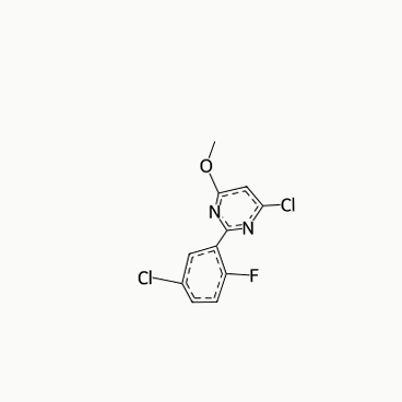 COc1cc(Cl)nc(-c2cc(Cl)ccc2F)n1